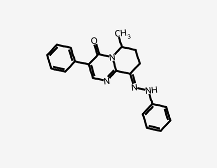 CC1CCC(=NNc2ccccc2)c2ncc(-c3ccccc3)c(=O)n21